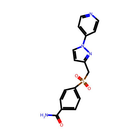 NC(=O)c1ccc(S(=O)(=O)Cc2ccn(-c3ccncc3)n2)cc1